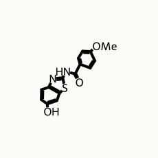 COc1ccc(C(=O)Nc2nc3ccc(O)cc3s2)cc1